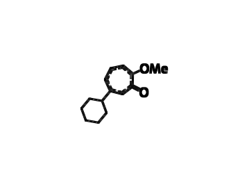 COc1cccc(C2CCCCC2)cc1=O